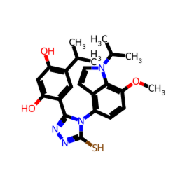 COc1ccc(-n2c(S)nnc2-c2cc(C(C)C)c(O)cc2O)c2ccn(C(C)C)c12